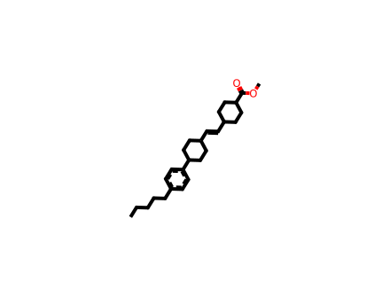 CCCCCc1ccc(C2CCC(C=CC3CCC(C(=O)OC)CC3)CC2)cc1